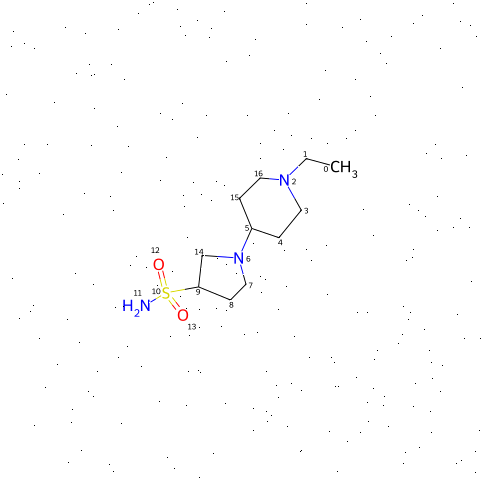 CCN1CCC(N2CCC(S(N)(=O)=O)C2)CC1